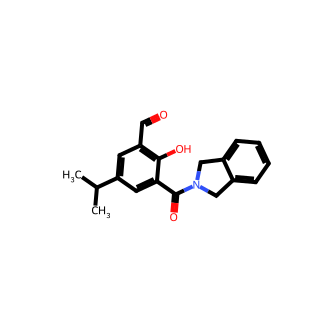 CC(C)c1cc(C=O)c(O)c(C(=O)N2Cc3ccccc3C2)c1